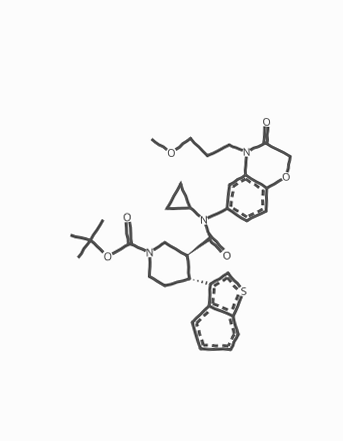 COCCCN1C(=O)COc2ccc(N(C(=O)[C@@H]3CN(C(=O)OC(C)(C)C)CC[C@H]3c3csc4ccccc34)C3CC3)cc21